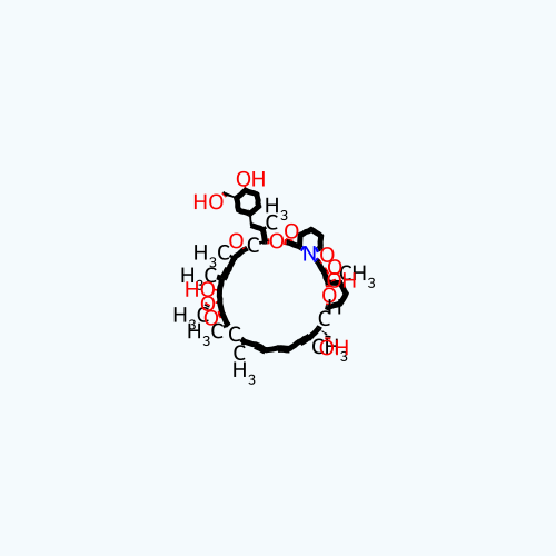 CO[C@H]1C(=O)[C@H](C)C[C@H](C)/C=C/C=C/C=C(\C)[C@@H](CO)C[C@@H]2CC[C@@H](C)[C@@](O)(O2)C(=O)C(=O)N2CCCCC2C(=O)O[C@H]([C@H](C)C[C@@H]2CC[C@@H](O)[C@H](CO)C2)CC(=O)[C@H](C)/C=C(\C)[C@H]1O